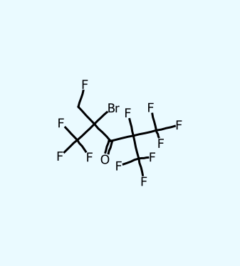 O=C(C(Br)(CF)C(F)(F)F)C(F)(C(F)(F)F)C(F)(F)F